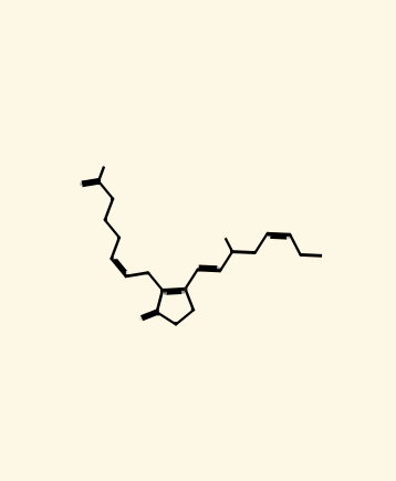 CC/C=C\CC(O)/C=C/C1=C(C/C=C\CCCC(=O)O)C(=O)CC1